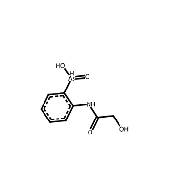 O=C(CO)Nc1ccccc1[AsH](=O)O